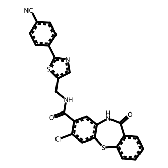 N#Cc1ccc(-c2ncc(CNC(=O)c3cc4c(cc3Cl)Sc3ccccc3C(=O)N4)s2)cc1